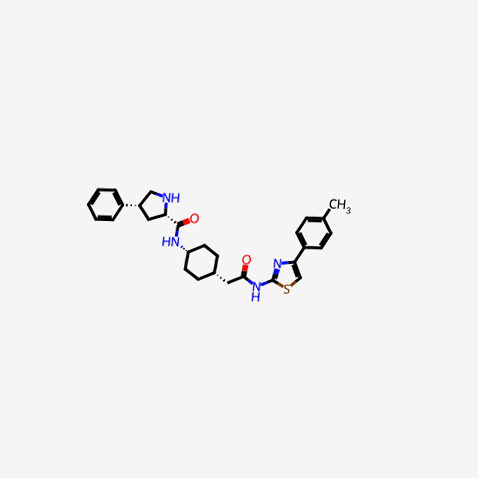 Cc1ccc(-c2csc(NC(=O)C[C@H]3CC[C@@H](NC(=O)[C@@H]4C[C@H](c5ccccc5)CN4)CC3)n2)cc1